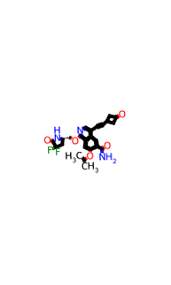 CC(C)Oc1cc2c(OC[C@@H]3CC(F)(F)C(=O)N3)ncc(C#CC3CC(=O)C3)c2cc1C(N)=O